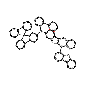 c1ccc(-c2ccccc2N(c2ccc3c(c2)C2(c4ccccc4-c4ccccc42)c2ccccc2-3)c2ccc3c(c2)oc2c(-c4cccc5c4sc4ccccc45)c4ccccc4cc23)cc1